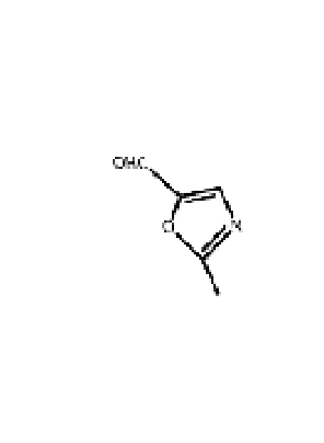 Cc1ncc(C=O)o1